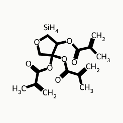 C=C(C)C(=O)OC1COCC1(OC(=O)C(=C)C)OC(=O)C(=C)C.[SiH4]